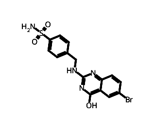 NS(=O)(=O)c1ccc(CNc2nc(O)c3cc(Br)ccc3n2)cc1